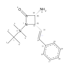 CC(C)(C)[Si](C)(C)N1C(=O)[C@H](N)[C@@H]1/C=C/c1ccccc1